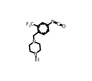 CCN1CCN(Cc2ccc(N=C=O)cc2C(F)(F)F)CC1